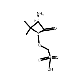 CC1(C)[C@H](N)C(=O)N1OCS(=O)(=O)O